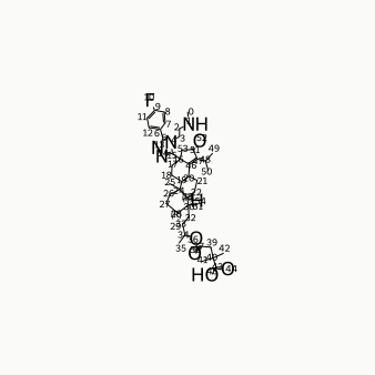 CNCCn1c(-c2ccc(F)cc2)nnc1C12CCC3C(CC[C@H]4C3(C)CC[C@@H](C)C4(C)CCC(C)OC(=O)CC(C)(C)C(=O)O)C1=C(C(C)C)C(=O)C2